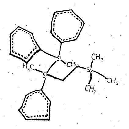 C[Si](C)(C)CC[Si](C)(c1ccccc1)[Si](C)(c1ccccc1)c1ccccc1